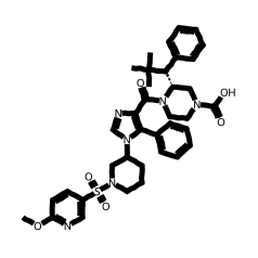 COc1ccc(S(=O)(=O)N2CCCC(n3cnc(C(=O)N4CCN(C(=O)O)C[C@H]4C(c4ccccc4)C(C)(C)C)c3-c3ccccc3)C2)cn1